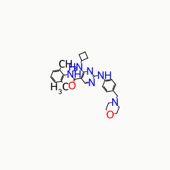 Cc1cccc(C)c1NC(=O)c1cnc(Nc2ccc(CN3CCOCC3)cc2)nc1NC1CCC1